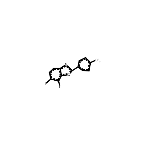 Fc1c(I)ccc2nc(-c3ccc(C(F)(F)F)cc3)oc12